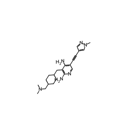 CN(C)CC1CCC(Cc2c(N)ncc(C#Cc3cnn(C)c3)c2N)CC1